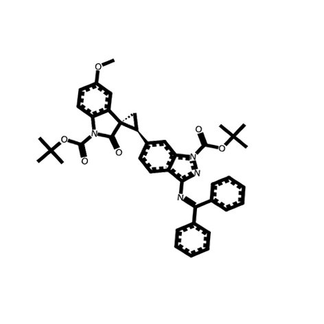 COc1ccc2c(c1)[C@]1(C[C@H]1c1ccc3c(N=C(c4ccccc4)c4ccccc4)nn(C(=O)OC(C)(C)C)c3c1)C(=O)N2C(=O)OC(C)(C)C